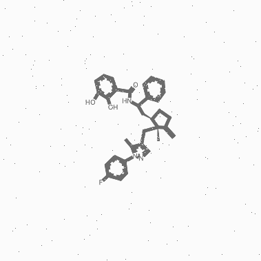 C=C1CC[C@H](CC(NC(=O)c2cccc(O)c2O)c2ccccc2)[C@@]1(C)Cc1cnn(-c2ccc(F)cc2)c1C